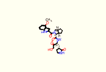 COc1cccc2[nH]c(C(=O)N3C[C@@H]4CCC[C@@H]4[C@@H]3C(=O)N[C@H](C[C@H]3CCNC3=O)C(=O)CO)cc12